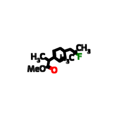 COC(=O)C(C)C1=CCC(CC(C)(C)F)C=C1